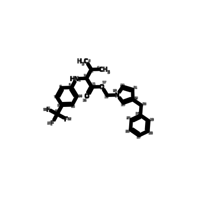 CC(C)C(Nc1ccc(C(F)(F)F)cc1)C(=O)OCn1ccc(Cc2ccccc2)c1